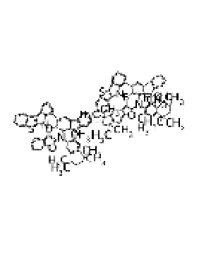 Cc1cc2c(cc1N1c3oc4cc5c(cc4c3B3c4c(cc6c(c41)C(C)(C)c1ccccc1-6)-c1cccc4c6sc7ccccc7c6n3c14)C(C)(C)C(c1ccc3c(c1)sc1c4c6c(cc13)-c1cccc3c7c8ccccc8sc7n(c13)B6c1c(oc3ccccc13)N4c1cc3c(cc1C)C(C)(C)CCC3(C)C)CC5(C)C)C(C)(C)CCC2(C)C